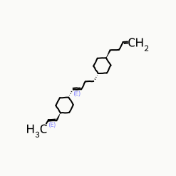 C=CCC[C@H]1CC[C@H](CC/C=C/[C@H]2CC[C@H](/C=C/C)CC2)CC1